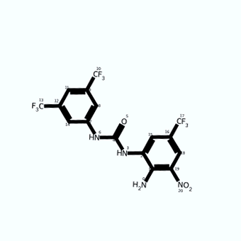 Nc1c(NC(=O)Nc2cc(C(F)(F)F)cc(C(F)(F)F)c2)cc(C(F)(F)F)cc1[N+](=O)[O-]